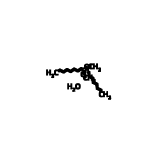 CCCCCCC[CH2][Sn]([CH2]CCCCCCC)([O]C)[O]C.O